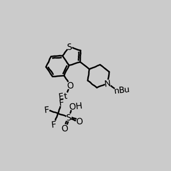 CCCCN1CCC(c2csc3cccc(OCC)c23)CC1.O=S(=O)(O)C(F)(F)F